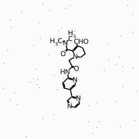 CN(C)C(=O)C1=C(C=O)CCCN1CC(=O)Nc1ccc(-c2cnccn2)cn1